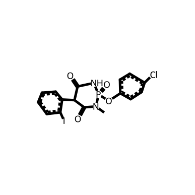 CN1C(=O)C(c2ccccc2I)C(=O)NP1(=O)Oc1ccc(Cl)cc1